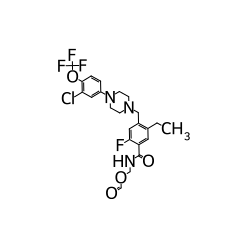 CCc1cc(C(=O)NCOC=O)c(F)cc1CN1CCN(c2ccc(OC(F)(F)F)c(Cl)c2)CC1